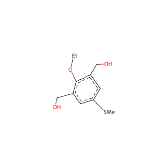 CCOc1c(CO)cc(SC)cc1CO